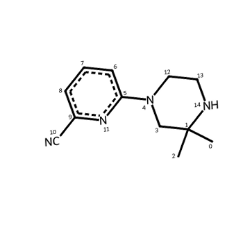 CC1(C)CN(c2cccc(C#N)n2)CCN1